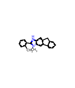 Cc1ccccc1-c1[nH]c2cc3c(cc2[n+]1C)-c1ccccc1C3